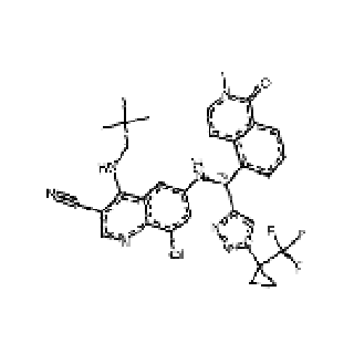 Cn1ccc2c([C@H](Nc3cc(Cl)c4ncc(C#N)c(NCC(C)(C)C)c4c3)c3cn(C4(C(F)(F)F)CC4)nn3)cccc2c1=O